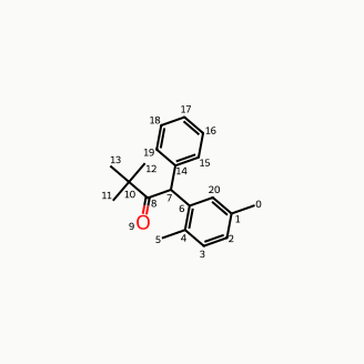 Cc1ccc(C)c(C(C(=O)C(C)(C)C)c2ccccc2)c1